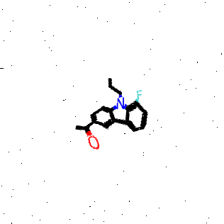 CCCn1c2ccc(C(C)=O)cc2c2cccc(F)c21